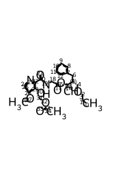 CCCOC[C@@H](Cc1ccccc1)[C@H](C)OC(=O)CNC(=O)c1nccc(OC)c1OCOC(C)=O